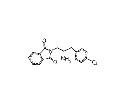 N[C@@H](Cc1ccc(Cl)cc1)CN1C(=O)c2ccccc2C1=O